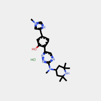 CN(c1ncc(-c2ccc(-c3cn(C)cn3)cc2O)nn1)C1CC(C)(C)NC(C)(C)C1.Cl